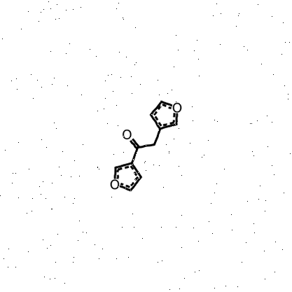 O=C(Cc1ccoc1)c1ccoc1